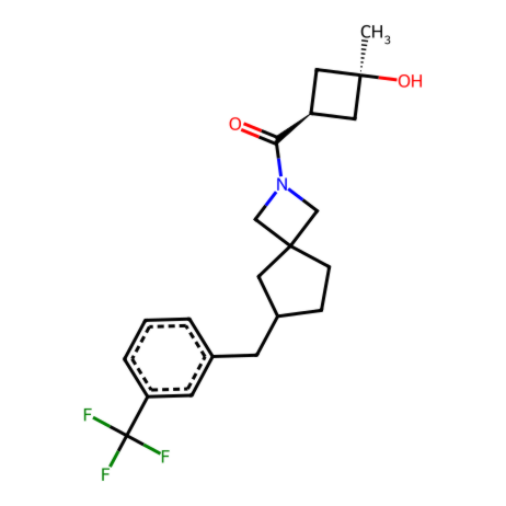 C[C@]1(O)C[C@@H](C(=O)N2CC3(CCC(Cc4cccc(C(F)(F)F)c4)C3)C2)C1